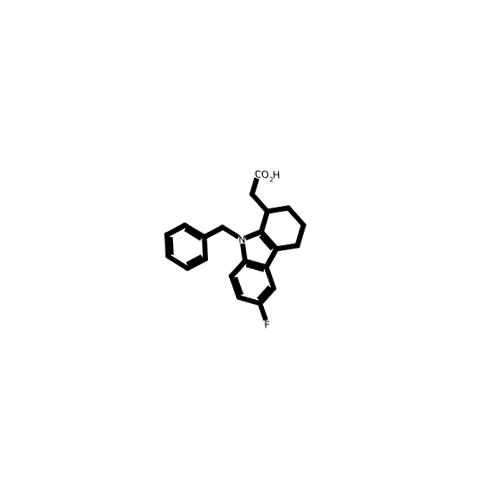 O=C(O)CC1CCCc2c1n(Cc1ccccc1)c1ccc(F)cc21